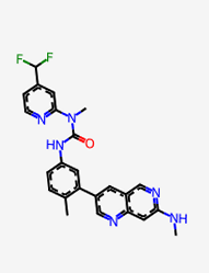 CNc1cc2ncc(-c3cc(NC(=O)N(C)c4cc(C(F)F)ccn4)ccc3C)cc2cn1